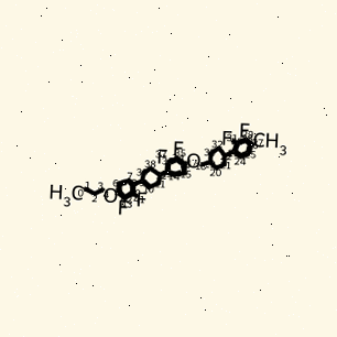 CCCCOc1ccc(C2=CCC(c3ccc(OCC4CCC(c5ccc(C)c(F)c5F)CC4)c(F)c3F)CC2)c(F)c1F